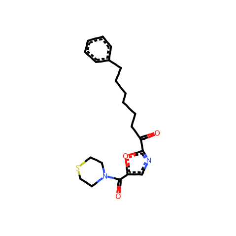 O=C(CCCCCCc1ccccc1)c1ncc(C(=O)N2CCSCC2)o1